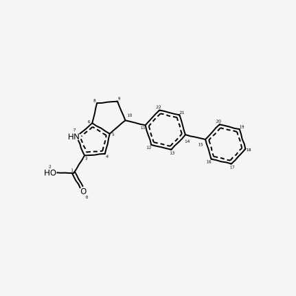 O=C(O)c1cc2c([nH]1)CCC2c1ccc(-c2ccccc2)cc1